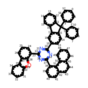 c1ccc(C2(c3ccccc3)c3ccccc3-c3cc(-c4nc(-c5cccc6c5oc5ccccc56)nc(-c5cccc6ccc7ccccc7c56)n4)ccc32)cc1